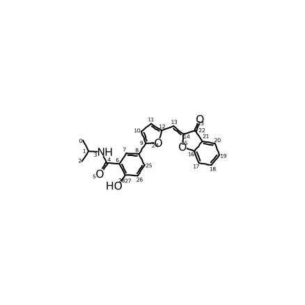 CC(C)NC(=O)c1cc(-c2ccc(/C=C3\Oc4ccccc4C3=O)o2)ccc1O